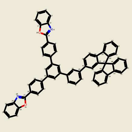 c1cc(-c2cc(-c3ccc(-c4nc5ccccc5o4)cc3)cc(-c3ccc(-c4nc5ccccc5o4)cc3)c2)cc(-c2ccc3c(c2)C2(c4ccccc4-c4ccccc42)c2ccccc2-3)c1